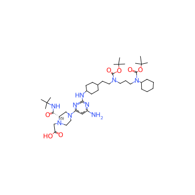 CC(C)(C)NC(=O)[C@@H]1CN(c2cc(N)nc(NC3CCC(CCN(CCCN(C(=O)OC(C)(C)C)C4CCCCC4)C(=O)OC(C)(C)C)CC3)n2)CCN1CC(=O)O